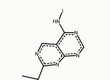 CCc1ncc2c(NI)ncnc2n1